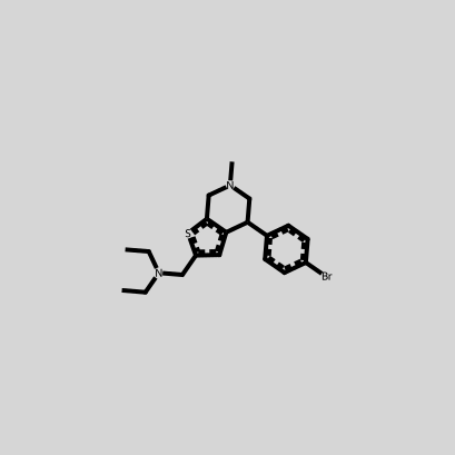 CCN(CC)Cc1cc2c(s1)CN(C)CC2c1ccc(Br)cc1